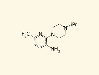 CC(C)N1CCN(c2nc(C(F)(F)F)ccc2N)CC1